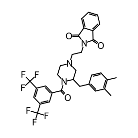 Cc1ccc(CC2CN(CCN3C(=O)c4ccccc4C3=O)CCN2C(=O)c2cc(C(F)(F)F)cc(C(F)(F)F)c2)cc1C